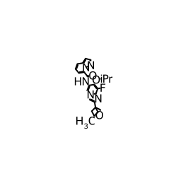 CC(C)Oc1c(NC(=O)c2cccc3ccnn23)cn2cc(C34COC(C)(C3)C4)nc2c1F